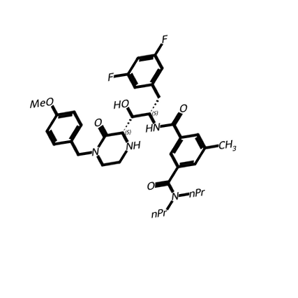 CCCN(CCC)C(=O)c1cc(C)cc(C(=O)N[C@@H](Cc2cc(F)cc(F)c2)C(O)[C@@H]2NCCN(Cc3ccc(OC)cc3)C2=O)c1